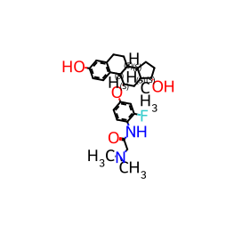 CN(C)CC(=O)Nc1ccc(O[C@H]2C[C@]3(C)[C@@H](O)CC[C@H]3[C@@H]3CCc4cc(O)ccc4[C@H]32)cc1F